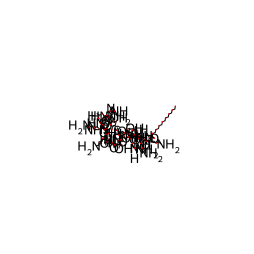 CCCCCCCCCCCCCCCC(=O)N[C@@H](CCCCN)C(=O)N[C@@H](CCCCN)C(=O)N[C@@H](CC(C)C)C(=O)N[C@@H](CCCNC(=N)N)C(=O)N[C@@H](CO)C(=O)N[C@@H](CCSC)C(=O)N[C@H](C(=O)N[C@@H](C)C(=O)N[C@@H](CCCCN)C(=O)N[C@@H](Cc1ccc(O)cc1)C(=O)N[C@@H](CCCNC(=N)N)C(=O)N[C@@H](CC(C)C)C(=O)N[C@@H](Cc1c[nH]cn1)C(N)=O)[C@@H](C)O